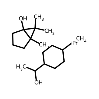 C.CC(C)C1CCC(C(C)O)CC1.CC1(C)C2(C)CCCC12O